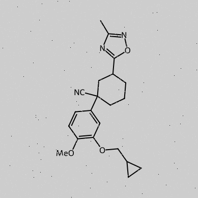 COc1ccc(C2(C#N)CCCC(c3nc(C)no3)C2)cc1OCC1CC1